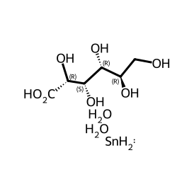 O.O.O=C(O)[C@H](O)[C@@H](O)[C@H](O)[C@H](O)CO.[SnH2]